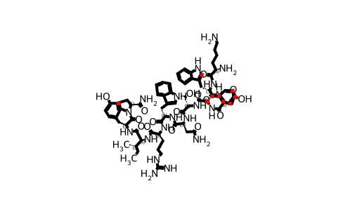 CC[C@H](C)[C@H](NC(=O)[C@H](CCCNC(=N)N)NC(=O)[C@H](Cc1c[nH]c2ccccc12)NC(=O)[C@H](CC(N)=O)NC(=O)[C@H](CO)NC(=O)[C@H](Cc1ccccc1)NC(=O)[C@H](CC(=O)O)NC(=O)[C@H](Cc1c[nH]c2ccccc12)NC(=O)[C@@H](N)CCCCN)C(=O)N[C@@H](Cc1ccc(O)cc1)C(=O)N1CCC[C@H]1C(N)=O